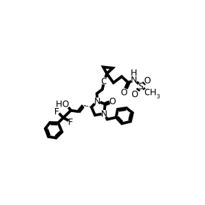 CS(=O)(=O)NC(=O)CCC1(CCCN2C(=O)N(Cc3ccccc3)C[C@@H]2C=CC(O)C(F)(F)c2ccccc2)CC1